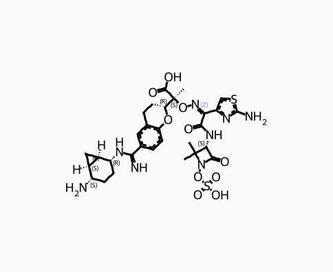 CC1(C)[C@H](NC(=O)/C(=N\O[C@](C)(C(=O)O)[C@H]2CCc3cc(C(=N)N[C@@H]4CC[C@H](N)[C@H]5C[C@H]54)ccc3O2)c2csc(N)n2)C(=O)N1OS(=O)(=O)O